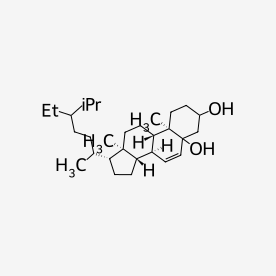 CCC(CCC(C)[C@H]1CC[C@H]2[C@@H]3C=CC4(O)CC(O)CC[C@]4(C)[C@H]3CC[C@]12C)C(C)C